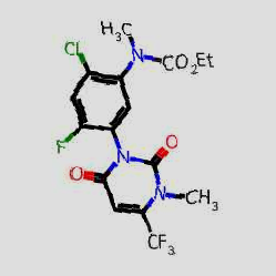 CCOC(=O)N(C)c1cc(-n2c(=O)cc(C(F)(F)F)n(C)c2=O)c(F)cc1Cl